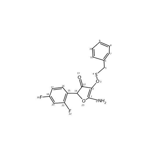 NC1=C(OSCc2ccccc2)C(=O)C(c2ccc(F)cc2F)O1